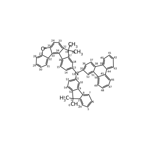 CC1(C)c2ccccc2-c2cc(N(c3ccc4c(c3)C(C)(C)c3ccc5oc6ccccc6c5c3-4)c3ccc4c5ccccc5c5ccccc5c4c3)ccc21